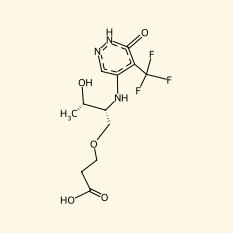 C[C@H](O)[C@@H](COCCC(=O)O)Nc1cn[nH]c(=O)c1C(F)(F)F